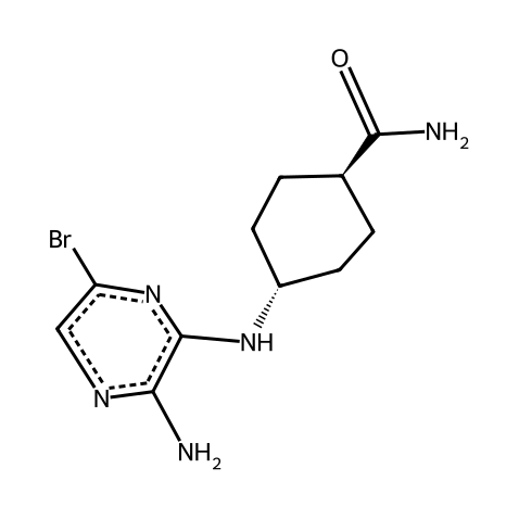 Nc1ncc(Br)nc1N[C@H]1CC[C@H](C(N)=O)CC1